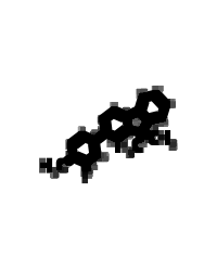 Cc1ccc(-c2ccc3c(c2)C(C)(C)c2ccccc2-3)cc1F